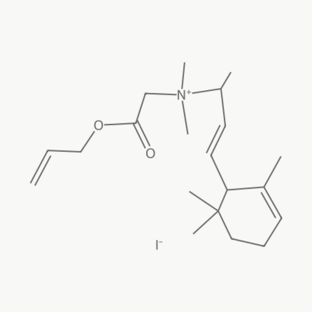 C=CCOC(=O)C[N+](C)(C)C(C)C=CC1C(C)=CCCC1(C)C.[I-]